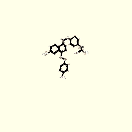 Cc1ccc(N=Nc2ccc(/N=N\C3C=CC(NC(N)=O)=CC3)c3ccc(C)cc23)cc1